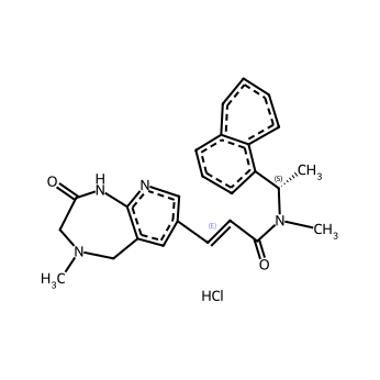 C[C@@H](c1cccc2ccccc12)N(C)C(=O)/C=C/c1cnc2c(c1)CN(C)CC(=O)N2.Cl